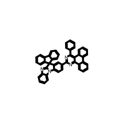 c1ccc(-c2nc(-c3ccc4c(c3)C3(c5ccccc5-c5ccccc53)c3nc5ccccc5n3-4)nc3c4ccccc4c4ccccc4c23)cc1